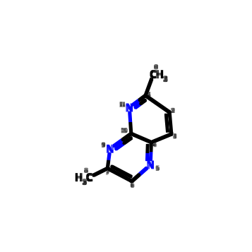 Cc1ccc2ncc(C)nc2n1